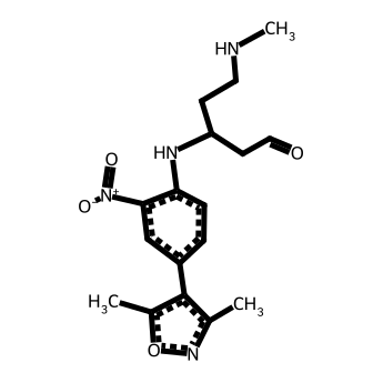 CNCCC(CC=O)Nc1ccc(-c2c(C)noc2C)cc1[N+](=O)[O-]